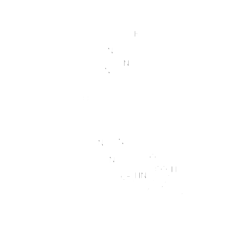 O=C(NC1(C(=O)O)C2CC3CC(C2)CC1C3)c1cnc(N2CC(C3CCCC3)c3cc(OC4CCN(c5ncc(F)cn5)CC4)ccc32)nc1C(F)(F)F